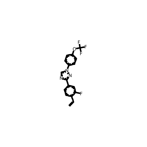 C=Cc1ccc(-c2ncn(-c3ccc(OC(F)(F)F)cc3)n2)cc1F